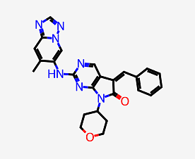 Cc1cc2ncnn2cc1Nc1ncc2c(n1)N(C1CCOCC1)C(=O)/C2=C\c1ccccc1